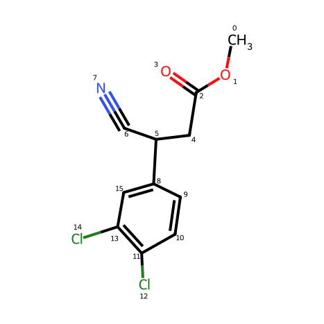 COC(=O)CC(C#N)c1ccc(Cl)c(Cl)c1